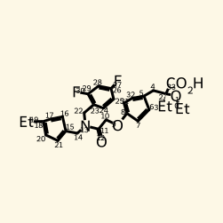 CCO[C@@](CC)(Cc1ccc(OCC(=O)N(Cc2ccc(CC)cc2)Cc2ccc(F)cc2F)cc1)C(=O)O